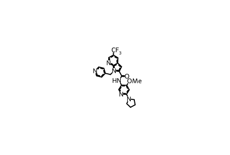 COc1cc(N2CCCC2)ncc1NC(=O)c1cc2cc(C(F)(F)F)cnc2n1Cc1ccncc1